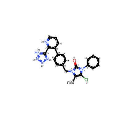 CCCCc1c(Cl)n(-c2ccccc2)c(=O)n1Cc1ccc(-c2cccnc2-c2nnn[nH]2)cc1